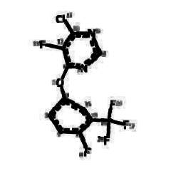 Fc1ccc(Oc2ncnc(Cl)c2F)cc1C(F)(F)F